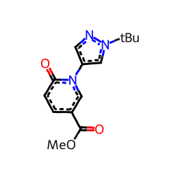 COC(=O)c1ccc(=O)n(-c2cnn(C(C)(C)C)c2)c1